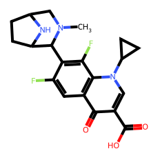 CN1CC2CCC(N2)C1c1c(F)cc2c(=O)c(C(=O)O)cn(C3CC3)c2c1F